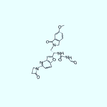 COc1ccc2c(c1)C(=O)N(C[C@H](NC(=O)NC=O)c1cc3nc(N4CCC4=O)ccc3o1)C2